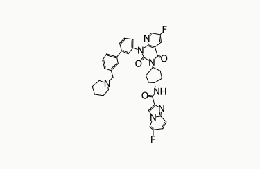 O=C(N[C@H]1CC[C@@H](n2c(=O)c3cc(F)cnc3n(-c3cccc(-c4cccc(CN5CCCCC5)c4)c3)c2=O)CC1)c1cn2cc(F)ccc2n1